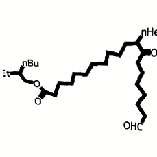 CCCCCCC(CCCCCCCCCCC(=O)OCC(CC)CCCC)C(=O)CCCCCCC=O